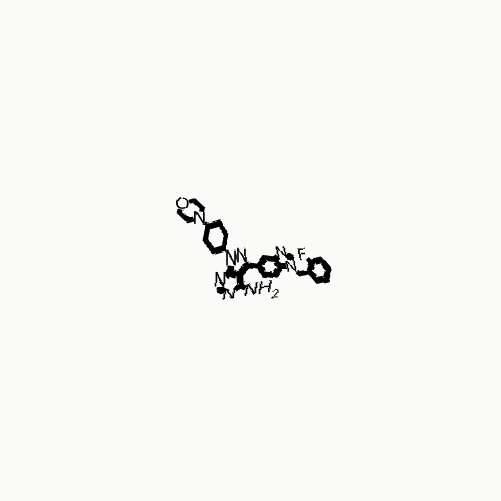 Nc1ncnc2c1c(-c1ccc3c(c1)ncn3Cc1ccccc1F)nn2[C@H]1CC[C@H](N2CCOCC2)CC1